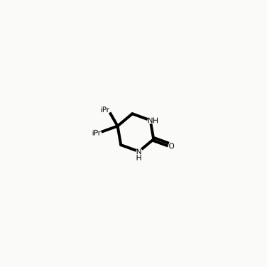 CC(C)C1(C(C)C)CNC(=O)NC1